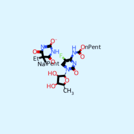 CCCC(C)C1(CC)C(=O)N=C([O-])NC1=O.CCCCCOC(=O)Nc1nc(=O)n([C@@H]2O[C@H](C)[C@@H](O)[C@H]2O)cc1F.[Na+]